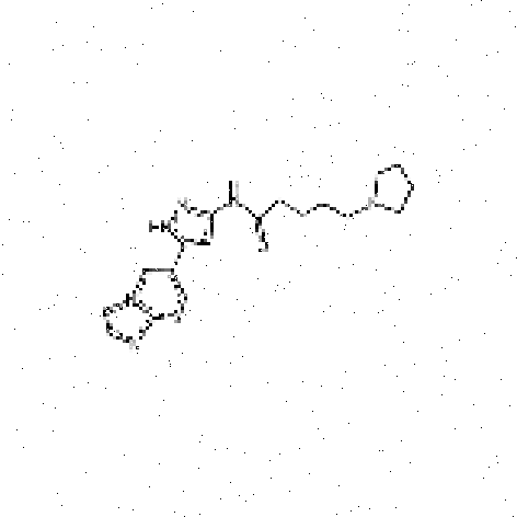 O=C(CCCCN1CCCC1)Nc1cc(-c2ccc3nccn3c2)[nH]n1